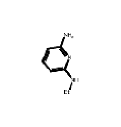 CCNc1cccc(N)n1